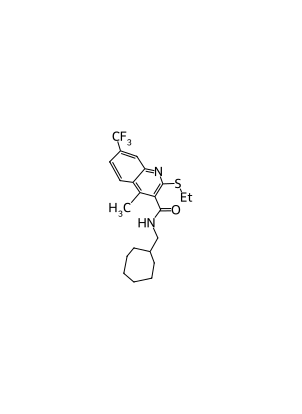 CCSc1nc2cc(C(F)(F)F)ccc2c(C)c1C(=O)NCC1CCCCCC1